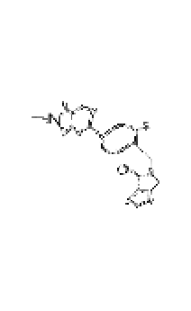 Cn1cc2cc(-c3ccc(CN4Cc5ncsc5C4=O)c(F)c3)ccc2n1